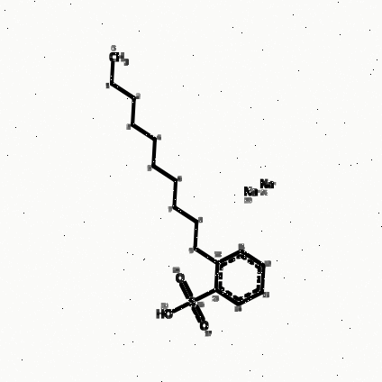 CCCCCCCCCCc1ccccc1S(=O)(=O)O.[Na].[Na]